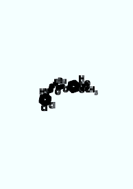 CCCCN(CCNc1ccc(Cl)c(Cl)c1)C(=O)COc1ccc(NS(C)(=O)=O)cc1